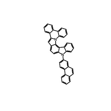 c1ccc2c(c1)ccc1cc(-n3c4ccccc4c4c3ccc3cc5c6ccccc6c6ccccc6n5c34)ccc12